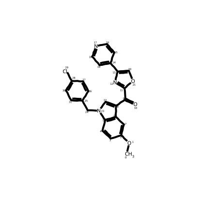 COc1ccc2c(c1)c(C(=O)c1nc(-c3ccncc3)co1)cn2Cc1ccc(Cl)cc1